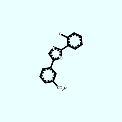 O=C(O)c1cccc(-c2cnc(-c3ccccc3F)o2)c1